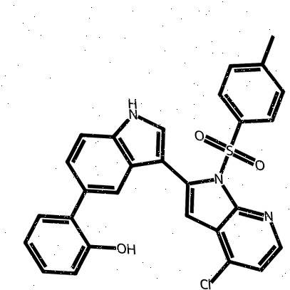 Cc1ccc(S(=O)(=O)n2c(-c3c[nH]c4ccc(-c5ccccc5O)cc34)cc3c(Cl)ccnc32)cc1